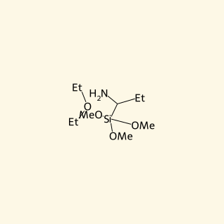 CCC(N)[Si](OC)(OC)OC.CCOCC